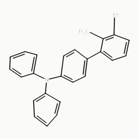 CCc1cccc(-c2ccc(N(c3ccccc3)c3ccccc3)cc2)c1C